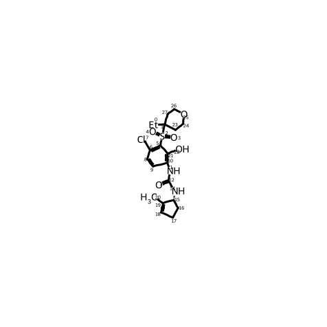 CCC1(S(=O)(=O)c2c(Cl)ccc(NC(=O)N[C@@H]3CCC=C3C)c2O)CCOCC1